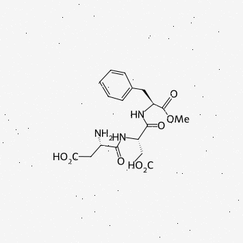 COC(=O)[C@H](Cc1ccccc1)NC(=O)[C@H](CC(=O)O)NC(=O)[C@@H](N)CC(=O)O